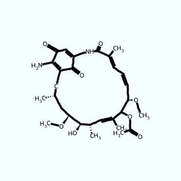 CO[C@H]1/C=C\C=C(/C)C(=O)NC2=CC(=O)C(N)=C(C[C@@H](C)C[C@H](OC)[C@H](O)[C@@H](C)/C=C(\C)C1OC(C)=O)C2=O